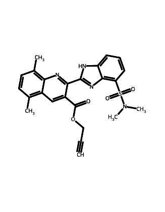 C#CCOC(=O)c1cc2c(C)ccc(C)c2nc1-c1nc2c(S(=O)(=O)N(C)C)cccc2[nH]1